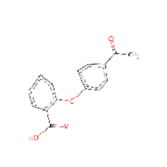 CC(=O)c1ccc(Oc2ccccc2C(=O)O)cc1